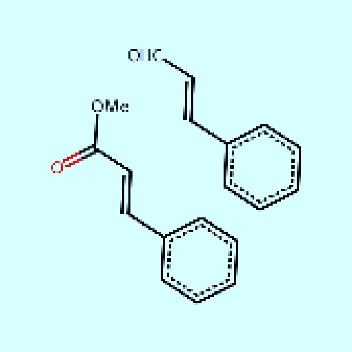 COC(=O)C=Cc1ccccc1.O=CC=Cc1ccccc1